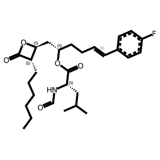 CCCCCC[C@@H]1C(=O)O[C@H]1C[C@H](CC/C=C/c1ccc(F)cc1)OC(=O)[C@H](CC(C)C)NC=O